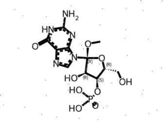 CO[C@@]1(n2cnc3c(=O)[nH]c(N)nc32)O[C@H](CO)[C@@H](OP(=O)(O)O)[C@H]1O